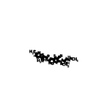 CCNC/C(O)=C/N(CC)c1cc2c(c(F)c1C#N)C[C@@H](NC(=O)c1sc3nc(C)ccc3c1N)CO2